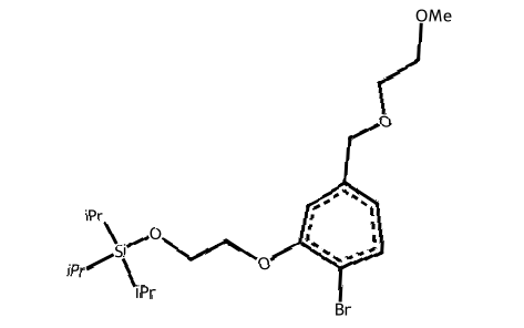 COCCOCc1ccc(Br)c(OCCO[Si](C(C)C)(C(C)C)C(C)C)c1